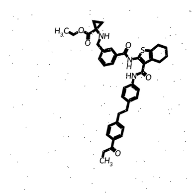 CCOC(=O)C1(NCc2cccc(C(=O)Nc3sc4c(c3C(=O)Nc3ccc(CCc5ccc(C(=O)CC)cc5)cc3)CCCC4)c2)CC1